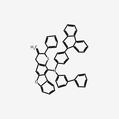 C=C1Cc2cc3oc4ccccc4c3c(N(c3ccc(-c4cc5ccccc5c5ccccc45)cc3)c3cccc(-c4ccccc4)c3)c2SC1c1ccccc1